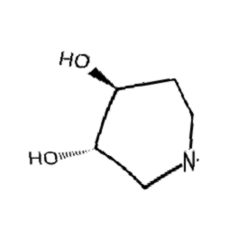 O[C@H]1CC[N]C[C@@H]1O